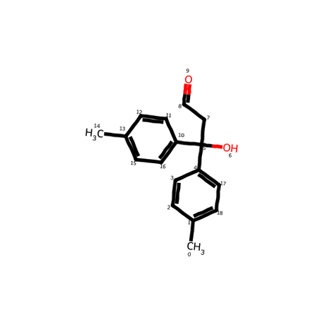 Cc1ccc(C(O)(CC=O)c2ccc(C)cc2)cc1